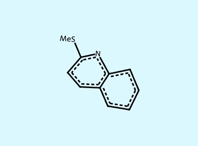 CSc1ccc2ccccc2n1